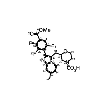 COC(=O)c1cc(F)c(-c2nc3cc(C)ccn3c2CC2CN(C(=O)O)CCO2)c(F)c1F